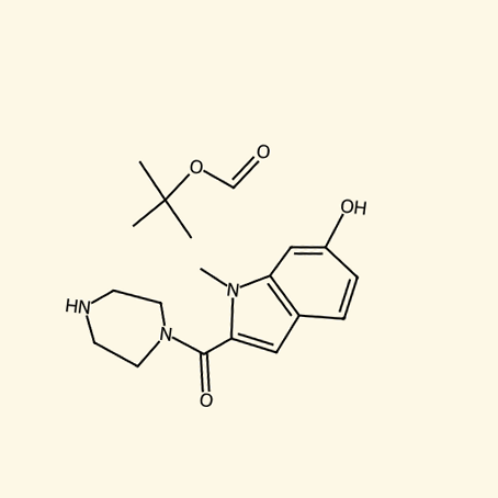 CC(C)(C)OC=O.Cn1c(C(=O)N2CCNCC2)cc2ccc(O)cc21